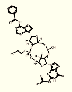 CC(C)C(=O)Nc1nc2c(ncn2[C@@H]2O[C@@H]3COP(=O)(OCCC#N)O[C@H]4[C@H](F)[C@H](n5cnc6c(NC(=O)c7ccccc7)ncnc65)O[C@@H]4COP(O)O[C@@H]2[C@@H]3F)c(=O)[nH]1